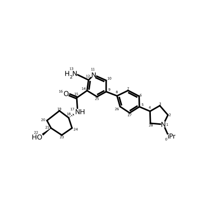 CC(C)N1CCC(c2ccc(-c3cnc(N)c(C(=O)N[C@H]4CC[C@H](O)CC4)c3)cc2)C1